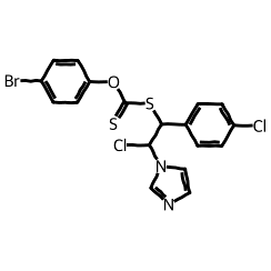 S=C(Oc1ccc(Br)cc1)SC(c1ccc(Cl)cc1)C(Cl)n1ccnc1